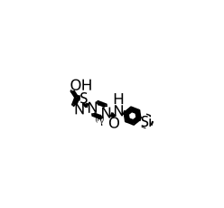 C[C@@H]1CN(c2ncc(CO)s2)CCN1C(=O)Nc1ccc([Si](C)(C)C)cc1